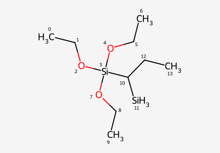 CCO[Si](OCC)(OCC)C([SiH3])CC